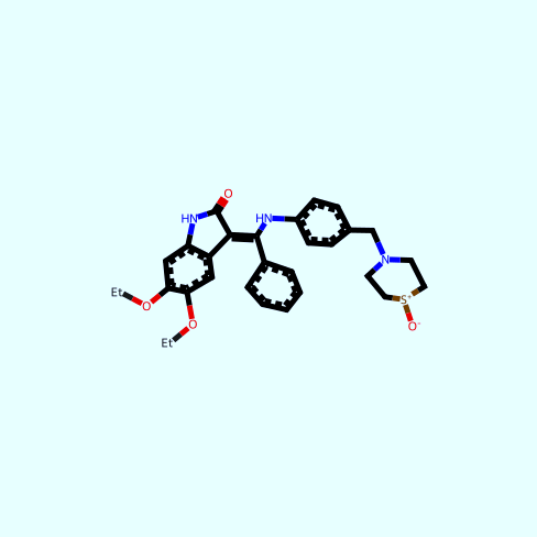 CCOc1cc2c(cc1OCC)/C(=C(/Nc1ccc(CN3CC[S+]([O-])CC3)cc1)c1ccccc1)C(=O)N2